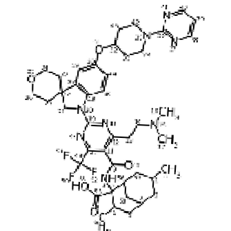 CC1CC2CC(C)C(NC(=O)c3c(CCN(C)C)nc(N4CC5(CCOCC5)c5cc(OC6CCN(c7ncccn7)CC6)ccc54)nc3C(F)(F)F)(C(=O)O)C(C1)C2